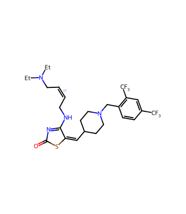 CCN(CC)C/C=C\CNC1=NC(=O)SC1=CC1CCN(Cc2ccc(C(F)(F)F)cc2C(F)(F)F)CC1